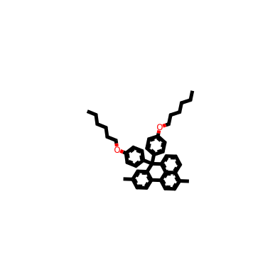 CCCCCCOc1ccc(C2(c3ccc(OCCCCCC)cc3)c3cc(C)ccc3-c3ccc(C)c4cccc2c34)cc1